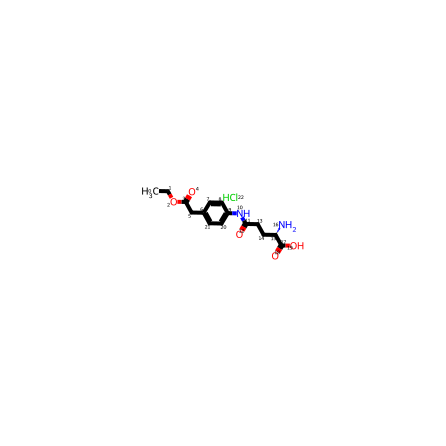 CCOC(=O)Cc1ccc(NC(=O)CC[C@H](N)C(=O)O)cc1.Cl